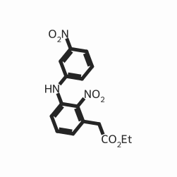 CCOC(=O)Cc1cccc(Nc2cccc([N+](=O)[O-])c2)c1[N+](=O)[O-]